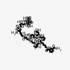 NC(=O)c1cccc(C(=O)NCCCCC(NC(=O)C2CCCN2C(=O)CCSSCCC(=O)NCC#Cc2cn(C3CC(O)C(COP(=O)(O)OP(=O)(O)OP(=O)(O)O)O3)c(=O)nc2N)C(=O)N2CCCC2C(=O)NC(CC(=O)O)C(=O)NC(CC(=O)O)C(=O)O)c1